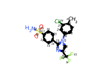 Cc1ccc(-n2cc(C(F)(F)F)nc2-c2ccc(S(N)(=O)=O)cc2)cc1Cl